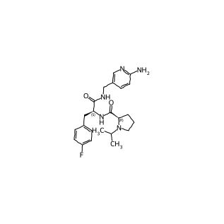 CC(C)N1CCC[C@@H]1C(=O)N[C@@H](Cc1ccc(F)cc1)C(=O)NCc1ccc(N)nc1